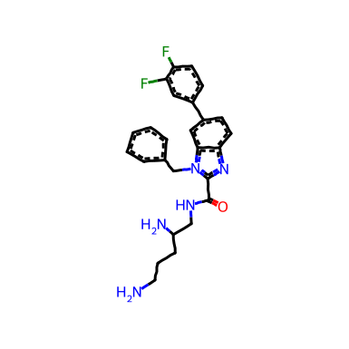 NCCCC(N)CNC(=O)c1nc2ccc(-c3ccc(F)c(F)c3)cc2n1Cc1ccccc1